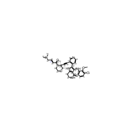 COc1c(Cl)cccc1Nc1c(-c2ccncc2C#C[C@@]2(C)COCCN2C(=O)/C=C/CN(C)C)[nH]c2c1C(=O)NCC2